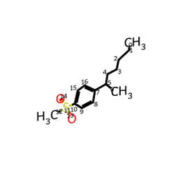 CCCCCC(C)c1ccc(S(C)(=O)=O)cc1